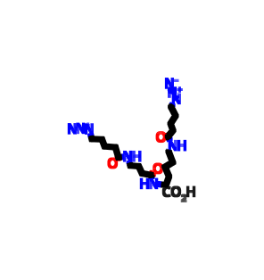 [N-]=[N+]=NCCCCC(=O)NCCCC[C@H](NC(=O)CCCNC(=O)CCCCN=[N+]=[N-])C(=O)O